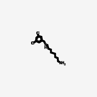 NCCCCCCCCNCc1cc(Cl)cc(Cl)c1